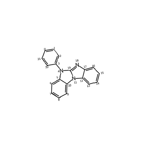 c1ccc(-n2c3ccccc3n3c4ccccc4nc23)cc1